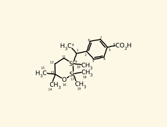 CC(c1ccc(C(=O)O)cc1)[Si]1(C)CCC(C)(C)O[Si]1(C)C